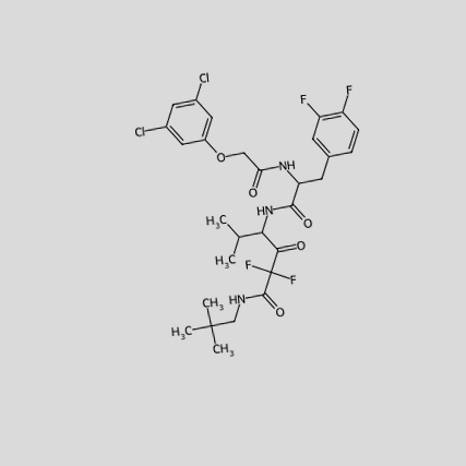 CC(C)C(NC(=O)C(Cc1ccc(F)c(F)c1)NC(=O)COc1cc(Cl)cc(Cl)c1)C(=O)C(F)(F)C(=O)NCC(C)(C)C